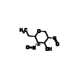 CCC1OCC(N=O)C(O)[C@@H]1N=O